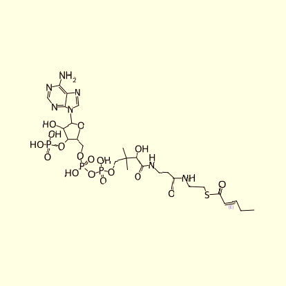 CC/C=C/C(=O)SCCNC(=O)CCNC(=O)C(O)C(C)(C)COP(=O)(O)OP(=O)(O)OCC1OC(n2cnc3c(N)ncnc32)C(O)C1OP(=O)(O)O